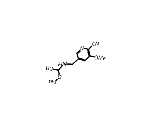 COc1cc(CNC(O)OC(C)(C)C)cnc1C#N